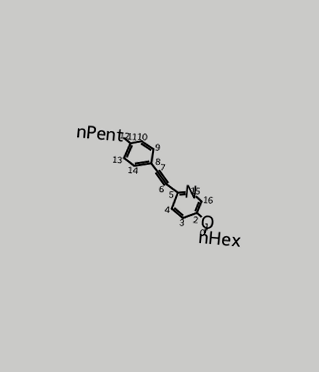 CCCCCCOc1ccc(C#Cc2ccc(CCCCC)cc2)nc1